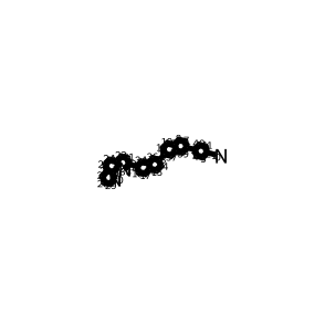 N#Cc1ccc(-c2ccc3ccc(-c4ccc5ccc(-c6ccc7ccc8cccnc8c7n6)cc5c4)cc3c2)cc1